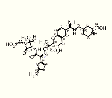 CC1(C)[C@H](NC(=O)/C(=N\O[C@](C)(C(=O)O)[C@H]2CCc3cc(C(=N)NC[C@@H]4CCN[C@@H](CO)C4)ccc3O2)c2csc(N)n2)C(=O)N1OS(=O)(=O)O